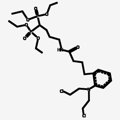 CCOP(=O)(OCC)C(CCCNC(=O)CCCc1ccccc1N(CCCl)CCCl)P(=O)(OCC)OCC